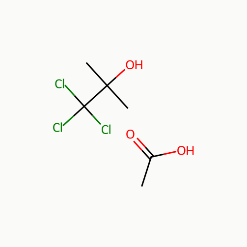 CC(=O)O.CC(C)(O)C(Cl)(Cl)Cl